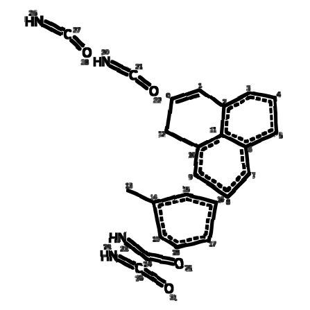 C1=Cc2cccc3cccc(c23)C1.Cc1ccccc1.N=C=O.N=C=O.N=C=O.N=C=O